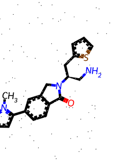 Cn1nccc1-c1ccc2c(c1)CN([C@H](CN)Cc1cccs1)C2=O